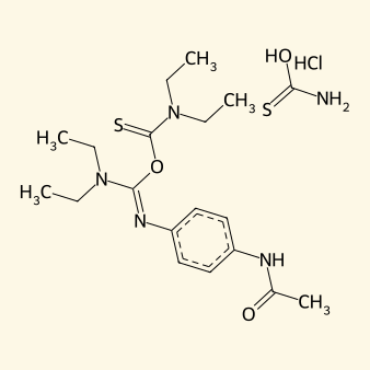 CCN(CC)C(=S)OC(=Nc1ccc(NC(C)=O)cc1)N(CC)CC.Cl.NC(O)=S